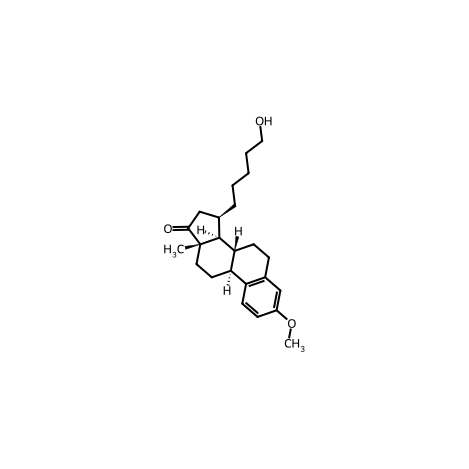 COc1ccc2c(c1)CC[C@H]1[C@@H]3[C@H](CCCCCO)CC(=O)[C@@]3(C)CC[C@H]21